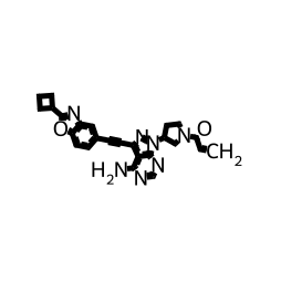 C=CC(=O)N1CCC(n2nc(C#Cc3ccc4oc(C5CCC5)nc4c3)c3c(N)ncnc32)C1